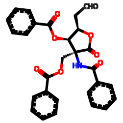 O=CC[C@H]1OC(=O)[C@@](COC(=O)c2ccccc2)(NC(=O)c2ccccc2)[C@H]1OC(=O)c1ccccc1